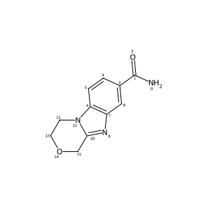 NC(=O)c1ccc2c(c1)nc1n2CCOC1